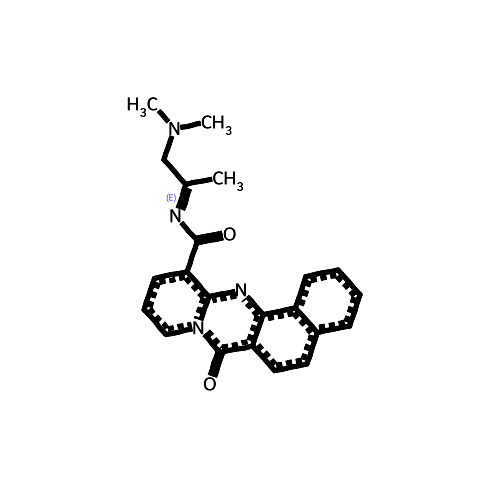 C/C(CN(C)C)=N\C(=O)c1cccn2c(=O)c3ccc4ccccc4c3nc12